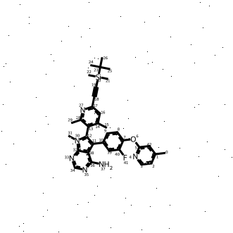 Cc1ccnc(Oc2ccc(-c3c(-c4c(C)cc(C#C[Si](C)(C)C(C)(C)C)nc4C)n(C)c4ncnc(N)c34)cc2F)c1